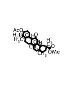 COC(=O)[C@@]1(C)CC[C@]2(C)CC[C@]3(C)C(=CC(=O)[C@@H]4[C@@]5(C)CC[C@H](OC(C)=O)C(C)(C)C5CC[C@]43C)[C@H]2C1